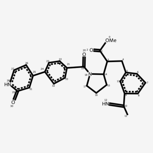 COC(=O)C(Cc1cccc(C(C)=N)c1)C1CCCN1C(=O)c1ccc(-c2cc[nH]c(=O)c2)cc1